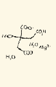 O.O.O=C([O-])CC(O)(CC(=O)O)C(=O)[O-].[Mg+2]